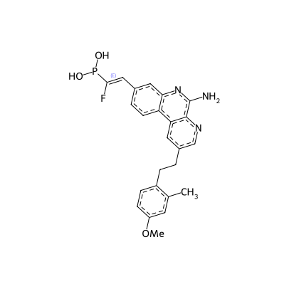 COc1ccc(CCc2cnc3c(N)nc4cc(/C=C(\F)P(O)O)ccc4c3c2)c(C)c1